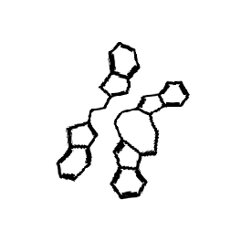 C1=C(CCC2=Cc3ccccc3C2)Cc2ccccc21.C1=C2CCC3=Cc4ccccc4C3CCC2c2ccccc21